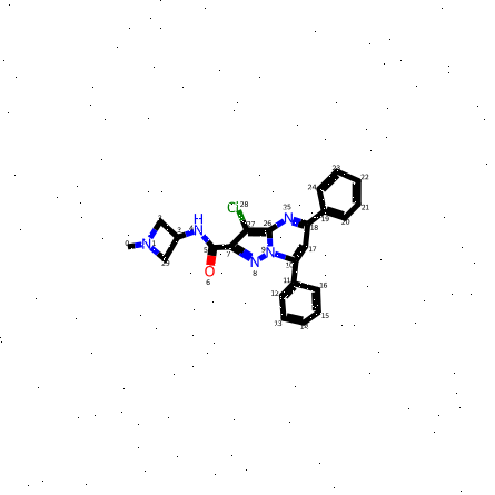 CN1CC(NC(=O)c2nn3c(-c4ccccc4)cc(-c4ccccc4)nc3c2Cl)C1